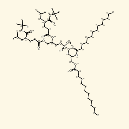 CCCCCCCCCCCCCC(=O)OC[C@H](COP(=O)(O)OCC(COC(=O)CCN(CC(C)C)C(=O)OC(C)(C)C)OC(=O)CCN(CC(C)C)C(=O)OC(C)(C)C)OC(=O)CCCCCCCCCCCCC